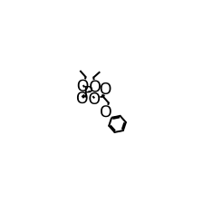 CCOP(=O)(OCC)OC(=O)COc1ccccc1